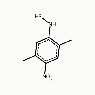 Cc1cc([N+](=O)[O-])c(C)cc1NS